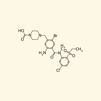 CCS(=O)(=O)c1ccc(Cl)cc1N(C)C(=O)c1cc(Br)c(CN2CCN(C(=O)O)CC2)cc1N